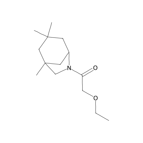 CCOCC(=O)N1CC2(C)CC1CC(C)(C)C2